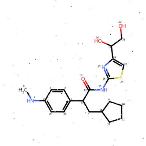 CNc1ccc(C(CC2CCCC2)C(=O)Nc2nc(C(O)CO)cs2)cc1